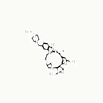 Cc1cc2cc(n1)-c1cnn(C)c1N1CC(C1)OCCN1/C(=N\C2=O)Nc2ccc(CN3CCN(C)CC3)cc21